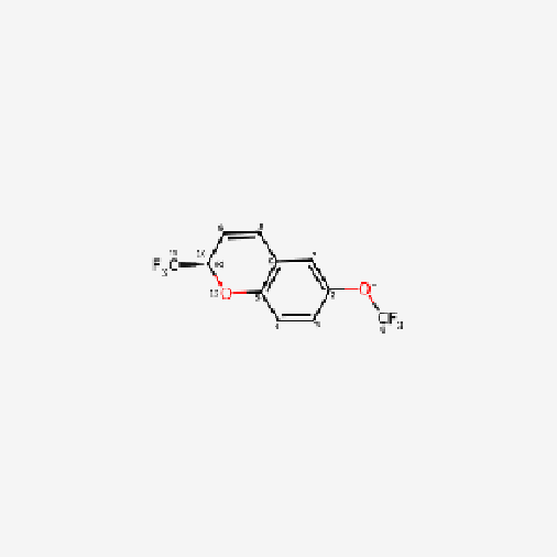 FC(F)(F)Oc1ccc2c(c1)C=C[C@H](C(F)(F)F)O2